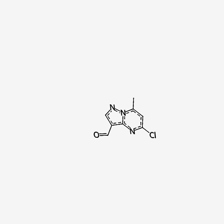 Cc1cc(Cl)nc2c(C=O)cnn12